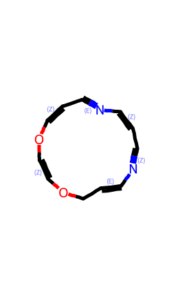 C1=C\N=C\C=C/O/C=C\OC\C=C\N=C/1